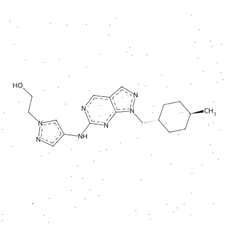 C[C@H]1CC[C@H](Cn2ncc3cnc(Nc4cnn(CCO)c4)nc32)CC1